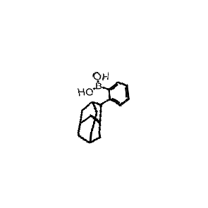 OB(O)c1ccccc1C1C2CC3CC(C2)CC1C3